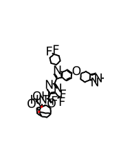 Cn1cc2c(n1)CCC(Oc1ccc3c(-c4ncc(C(=O)NC5(C(=O)O)C6CCC7CC(C6)CC5C7)c(C(F)(F)F)n4)cn(C4CCC(F)(F)CC4)c3c1)C2